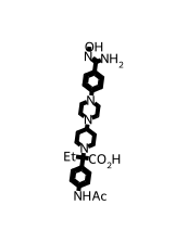 CCC(C(=O)O)(c1ccc(NC(C)=O)cc1)N1CCC(N2CCN(c3ccc(C(N)=NO)cc3)CC2)CC1